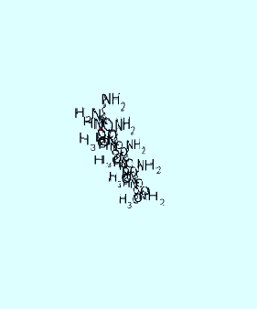 COc1ccc(NC(=O)[C@H](CCCCN)NC(=O)c2cc(NC(=O)[C@H](CCCCN)NC(=O)c3cc(NC(=O)[C@H](CCCCN)NC(=O)c4cc(NC(=O)[C@H](N)CCCCN)ccc4OC)ccc3OC)ccc2OC)cc1C(N)=O